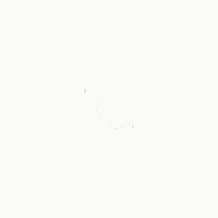 CCOC=C=CC#N